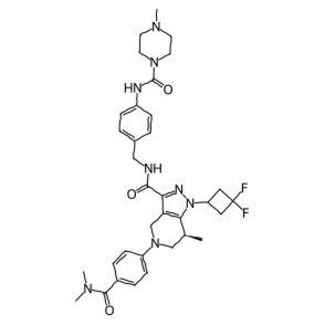 C[C@H]1CN(c2ccc(C(=O)N(C)C)cc2)Cc2c(C(=O)NCc3ccc(NC(=O)N4CCN(C)CC4)cc3)nn(C3CC(F)(F)C3)c21